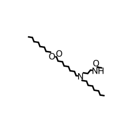 CCCCCCCCOC(=O)CCCCCCCN(CCCCCCCC)CCCNC(C)=O